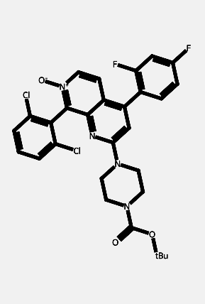 CC(C)(C)OC(=O)N1CCN(c2cc(-c3ccc(F)cc3F)c3cc[n+]([O-])c(-c4c(Cl)cccc4Cl)c3n2)CC1